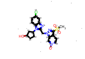 CS(=O)(=O)c1nn(Cc2nc3cc(Cl)ccc3n2C2CCC(O)C2)c2c[n+]([O-])ccc12